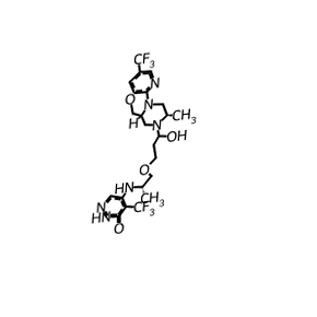 C[C@@H]1CN2c3ncc(C(F)(F)F)cc3OC[C@H]2CN1C(O)CCOC[C@H](C)Nc1cn[nH]c(=O)c1C(F)(F)F